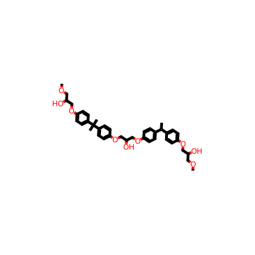 COCC(O)COc1ccc(C(C)c2ccc(OCC(O)COc3ccc(C(C)(C)c4ccc(OCC(O)COC)cc4)cc3)cc2)cc1